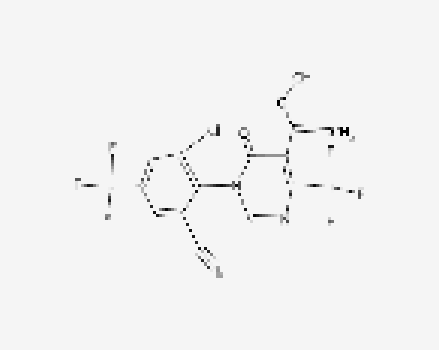 C=C(OC)c1c(C(F)(F)F)ncn(-c2c(Cl)cc(C(F)(F)F)cc2C#N)c1=O